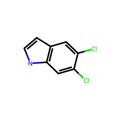 Clc1cc2c(cc1Cl)[N]C=C2